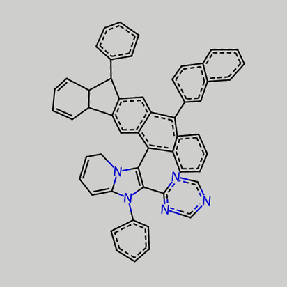 C1=CCN2C(=C1)N(c1ccccc1)C(c1ncncn1)=C2c1c2ccccc2c(-c2ccc3ccccc3c2)c2cc3c(cc12)C1C=CC=CC1C3c1ccccc1